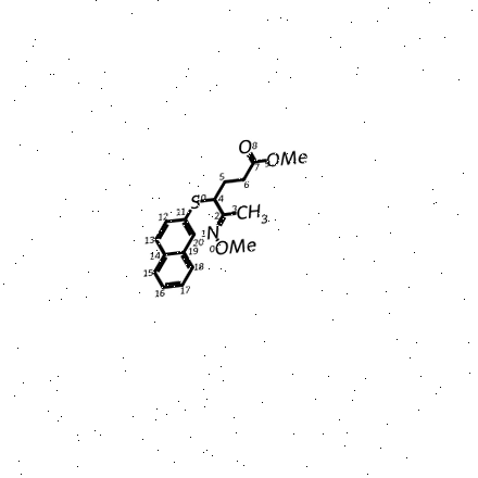 CON=C(C)C(CCC(=O)OC)Sc1ccc2ccccc2c1